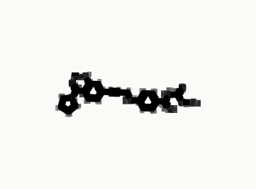 COc1cc(C#CCNc2ccc(C(=N)NC(=O)OC(C)(C)C)cc2)ccc1C(=O)N1CCCC1